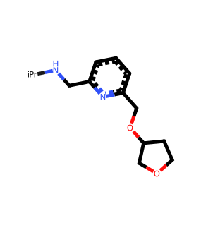 CC(C)NCc1cccc(COC2CCOC2)n1